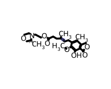 COc1c(O)c2c(c(C)c1C/C=C(\C)CCC(=O)OCCN1CCOC[C@H]1C)COC2=O